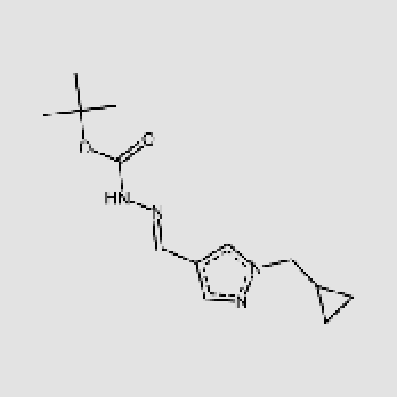 CC(C)(C)OC(=O)N/N=C/c1cnn(CC2CC2)c1